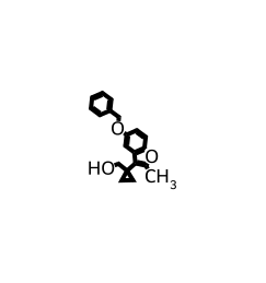 Cc1oc2ccc(OCc3ccccc3)cc2c1C1(CO)CC1